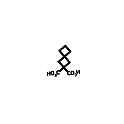 O=C(O)C1(C(=O)O)[CH]C2(CCC2)C1